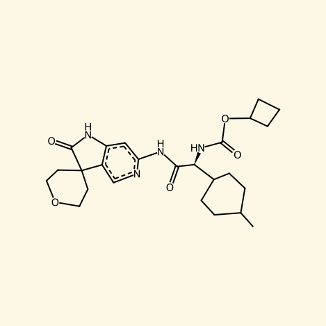 CC1CCC([C@H](NC(=O)OC2CCC2)C(=O)Nc2cc3c(cn2)C2(CCOCC2)C(=O)N3)CC1